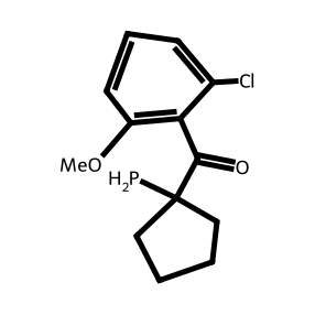 COc1cccc(Cl)c1C(=O)C1(P)CCCC1